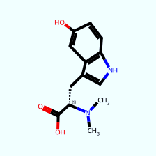 CN(C)[C@@H](Cc1c[nH]c2ccc(O)cc12)C(=O)O